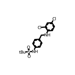 CC(C)(C)S(=O)(=O)Nc1ccc(CNc2ccc(Cl)cc2Cl)cc1